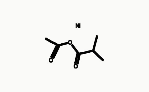 CC(=O)OC(=O)C(C)C.[Ni]